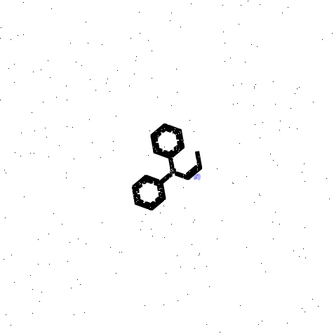 C/C=C\P(c1ccccc1)c1ccccc1